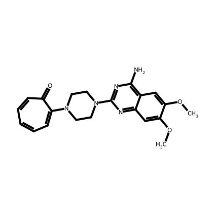 COc1cc2nc(N3CCN(c4cccccc4=O)CC3)nc(N)c2cc1OC